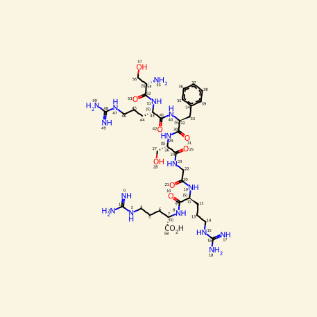 N=C(N)NCCC[C@H](NC(=O)[C@H](CCCNC(=N)N)NC(=O)CNC(=O)[C@H](CO)NC(=O)[C@H](Cc1ccccc1)NC(=O)[C@H](CCCNC(=N)N)NC(=O)[C@@H](N)CO)C(=O)O